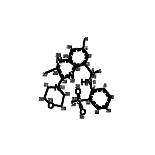 Cc1cc([C@@H](C)Nc2ccccc2S(C)(=O)=O)c2nc(N3CCOCC3)c(C)nc2c1